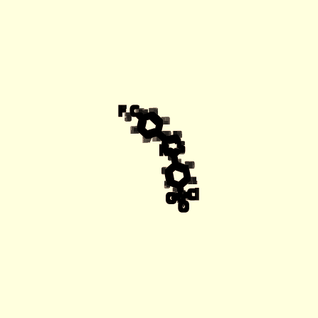 O=S(=O)(Cl)C1C=CC(c2nc(-c3ccc(C(F)(F)F)cc3)cs2)=CC1